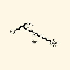 CCCCC(CC)COCCOCCOCCCCOS(=O)(=O)[O-].[Na+]